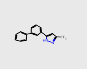 FC(F)(F)c1cc(-c2cccc(-c3ccccc3)c2)[nH]n1